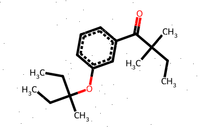 CCC(C)(CC)Oc1cccc(C(=O)C(C)(C)CC)c1